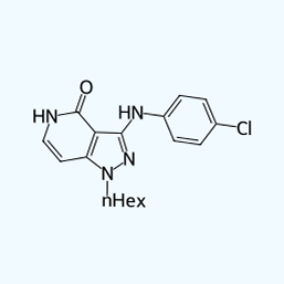 CCCCCCn1nc(Nc2ccc(Cl)cc2)c2c(=O)[nH]ccc21